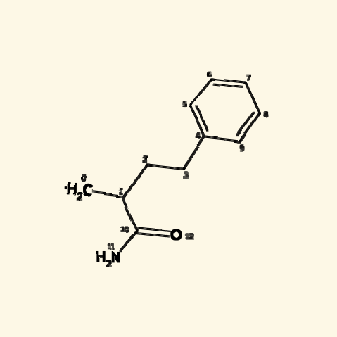 [CH2]C(CCc1ccccc1)C(N)=O